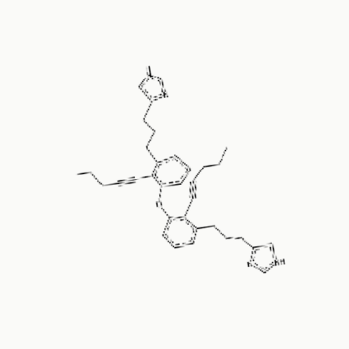 CCCC#Cc1c(CCCc2c[nH]cn2)cccc1Oc1cccc(CCCc2c[nH]cn2)c1C#CCCC